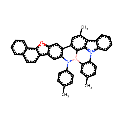 Cc1ccc(N2B3c4cc(C)ccc4-n4c5ccccc5c5c(C)cc(c3c54)-c3cc4oc5c6ccccc6ccc5c4cc32)cc1